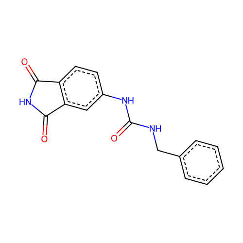 O=C(NCc1ccccc1)Nc1ccc2c(c1)C(=O)NC2=O